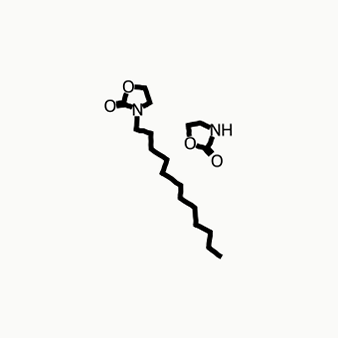 CCCCCCCCCCCCN1CCOC1=O.O=C1NCCO1